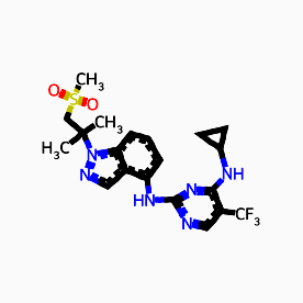 CC(C)(CS(C)(=O)=O)n1ncc2c(Nc3ncc(C(F)(F)F)c(NC4CC4)n3)cccc21